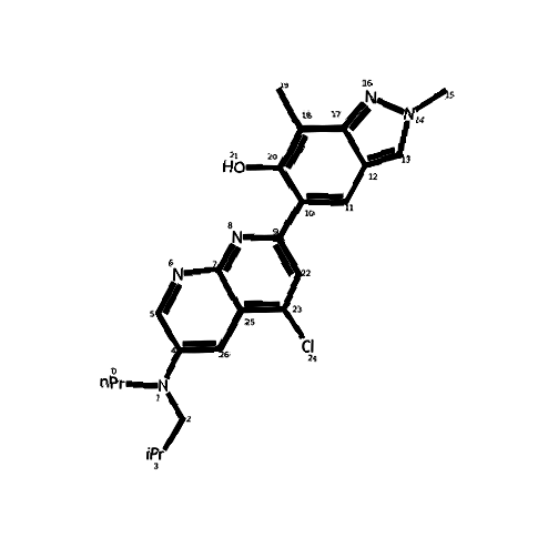 CCCN(CC(C)C)c1cnc2nc(-c3cc4cn(C)nc4c(C)c3O)cc(Cl)c2c1